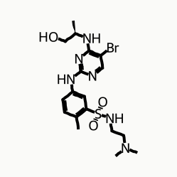 Cc1ccc(Nc2ncc(Br)c(N[C@H](C)CO)n2)cc1S(=O)(=O)NCCN(C)C